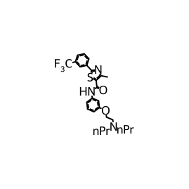 CCCN(CCC)CCOc1cccc(NC(=O)c2sc(-c3cccc(C(F)(F)F)c3)nc2C)c1